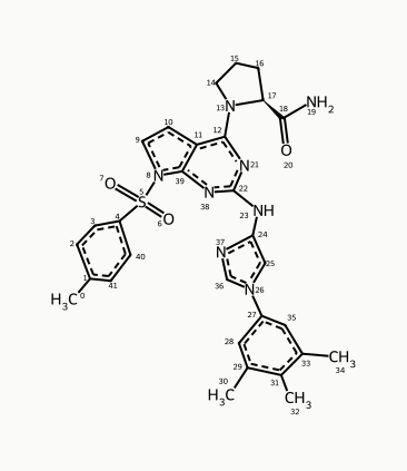 Cc1ccc(S(=O)(=O)n2ccc3c(N4CCC[C@H]4C(N)=O)nc(Nc4cn(-c5cc(C)c(C)c(C)c5)cn4)nc32)cc1